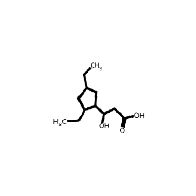 CCC1CC(CC)C(C(O)CC(=O)O)C1